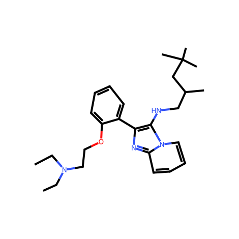 CCN(CC)CCOc1ccccc1-c1nc2ccccn2c1NCC(C)CC(C)(C)C